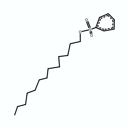 CCCCCCCCCCCCCOS(=O)(=O)c1ccccc1